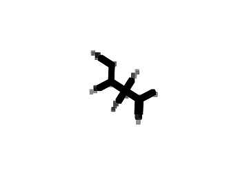 CC(=O)C(F)(F)C(F)CF